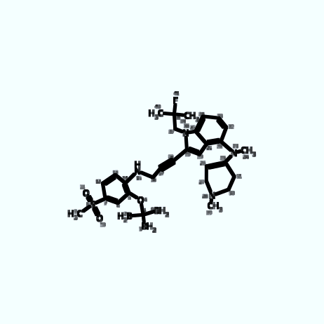 BC(B)(B)Oc1cc(S(C)(=O)=O)ccc1NCC#Cc1cc2c(N(C)C3=CCN(C)CC3)cccc2n1CC(C)(C)F